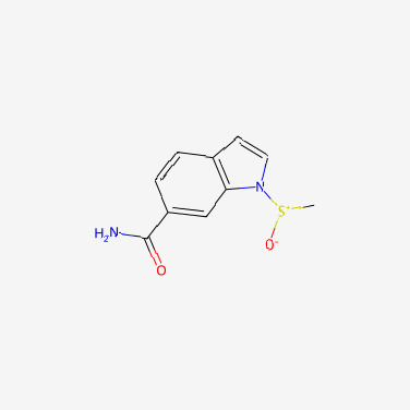 C[S+]([O-])n1ccc2ccc(C(N)=O)cc21